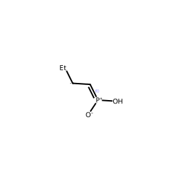 CC[CH]/C=[P+](\[O-])O